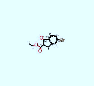 CCOC(=O)C1Cc2cc(Br)ccc2C1=O